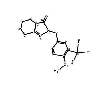 COc1ccc(Cn2nc3n(c2=O)CCCC3)cc1C(F)(F)F